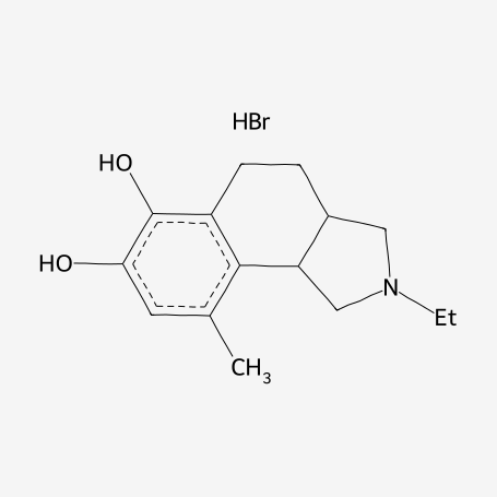 Br.CCN1CC2CCc3c(O)c(O)cc(C)c3C2C1